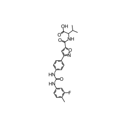 Cc1ccc(NC(=O)Nc2ccc(-c3cc(C(=O)NC(C(=O)O)C(C)C)on3)cc2)cc1F